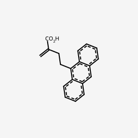 C=C(CCc1c2ccccc2cc2ccccc12)C(=O)O